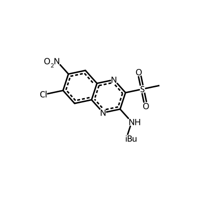 CCC(C)Nc1nc2cc(Cl)c([N+](=O)[O-])cc2nc1S(C)(=O)=O